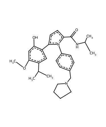 COc1cc(O)c(-c2ccc(C(=O)NC(C)C)n2-c2ccc(CN3CCCC3)cc2)cc1C(C)C